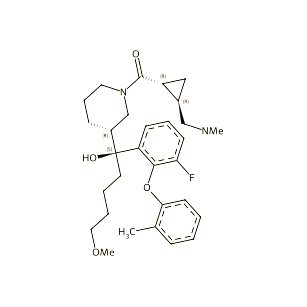 CNC[C@@H]1C[C@H]1C(=O)N1CCC[C@@H]([C@@](O)(CCCCOC)c2cccc(F)c2Oc2ccccc2C)C1